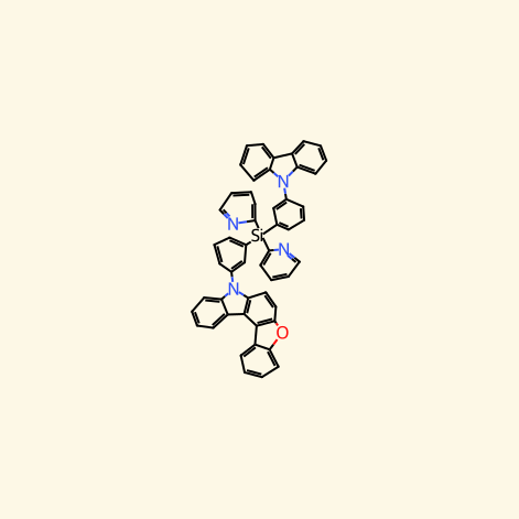 c1ccc([Si](c2cccc(-n3c4ccccc4c4ccccc43)c2)(c2cccc(-n3c4ccccc4c4c5c(ccc43)oc3ccccc35)c2)c2ccccn2)nc1